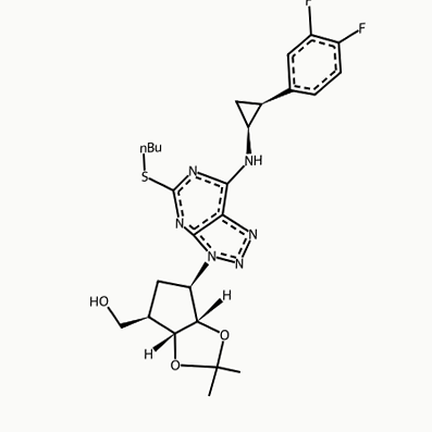 CCCCSc1nc(N[C@H]2C[C@H]2c2ccc(F)c(F)c2)c2nnn([C@@H]3C[C@H](CO)[C@H]4OC(C)(C)O[C@H]43)c2n1